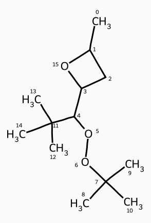 CC1CC(C(OOC(C)(C)C)C(C)(C)C)O1